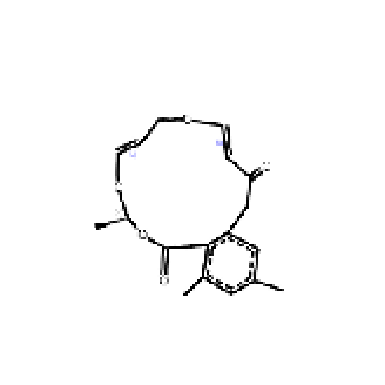 Cc1cc(C)c2c(c1)CC(=O)/C=C/CC/C=C/C[C@H](C)OC2=O